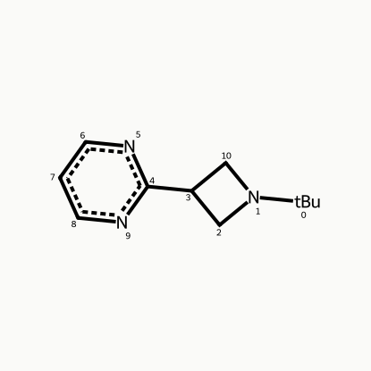 CC(C)(C)N1CC(c2ncccn2)C1